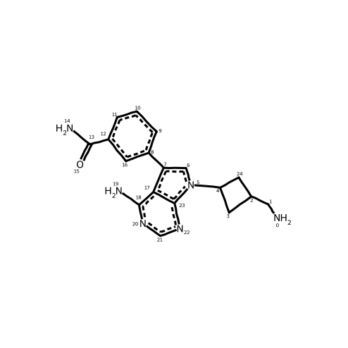 NCC1CC(n2cc(-c3cccc(C(N)=O)c3)c3c(N)ncnc32)C1